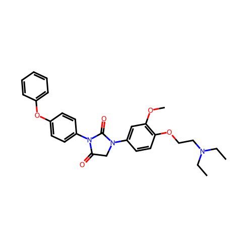 CCN(CC)CCOc1ccc(N2CC(=O)N(c3ccc(Oc4ccccc4)cc3)C2=O)cc1OC